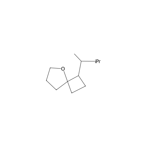 CC(C)C(C)C1CCC12CCCO2